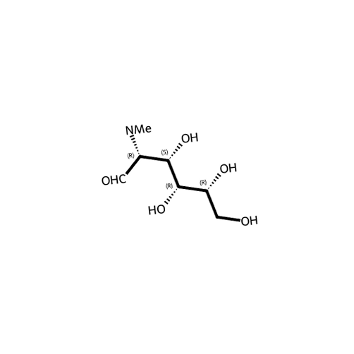 CN[C@@H](C=O)[C@H](O)[C@@H](O)[C@H](O)CO